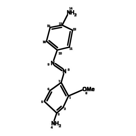 COc1cc(N)ccc1/N=N/c1ccc(N)cc1